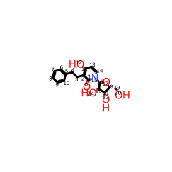 O=c1c(CCc2ccccc2)c(O)ccn1[C@@H]1O[C@H](CO)C(O)C1O